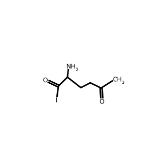 CC(=O)CCC(N)C(=O)I